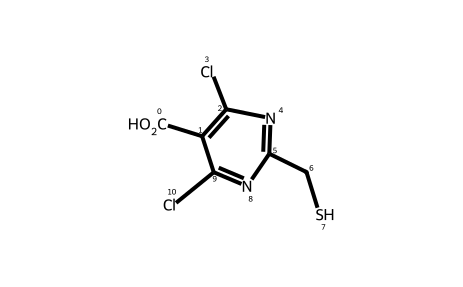 O=C(O)c1c(Cl)nc(CS)nc1Cl